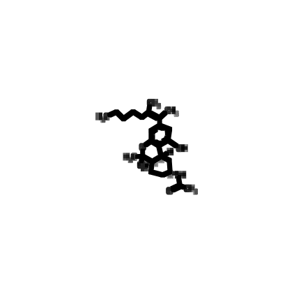 CCCCCC(C)=C(C)c1cc(O)c2c(c1)OC(C)(C)[C@@H]1CC[C@@H](NC(C)=O)C[C@@H]21